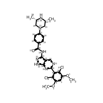 COc1cc(OC)c(Cl)c(-c2ncc3c(NC(=O)c4ccc(N5C[C@@H](C)N[C@@H](C)C5)cc4)n[nH]c3n2)c1Cl